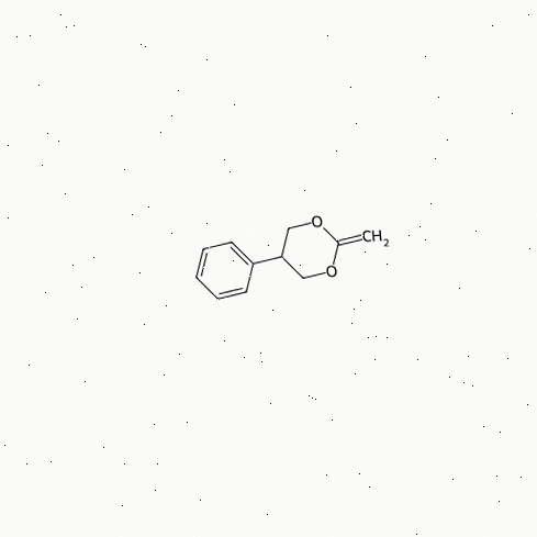 C=C1OCC(c2ccccc2)CO1